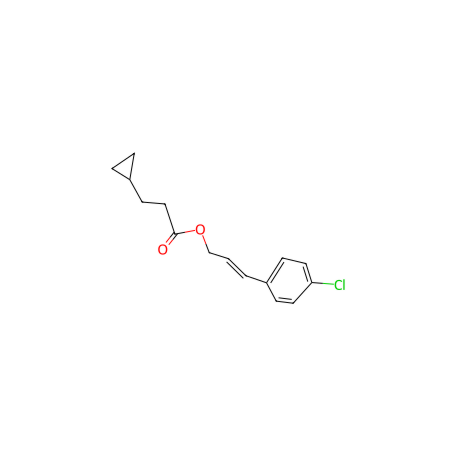 O=C(CCC1CC1)OC/C=C/c1ccc(Cl)cc1